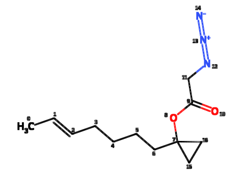 C/C=C/CCCCC1(OC(=O)CN=[N+]=[N-])CC1